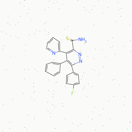 NC(=S)c1nnc(-c2ccc(F)cc2)c(-c2ccccc2)c1-c1ccccn1